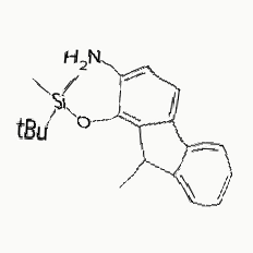 CC1c2ccccc2-c2ccc(N)c(O[Si](C)(C)C(C)(C)C)c21